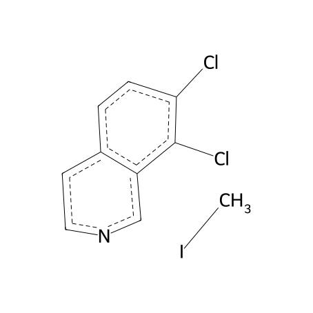 CI.Clc1ccc2ccncc2c1Cl